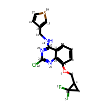 FC1(F)CC1COc1cccc2c(NCc3ccsc3)nc(Cl)nc12